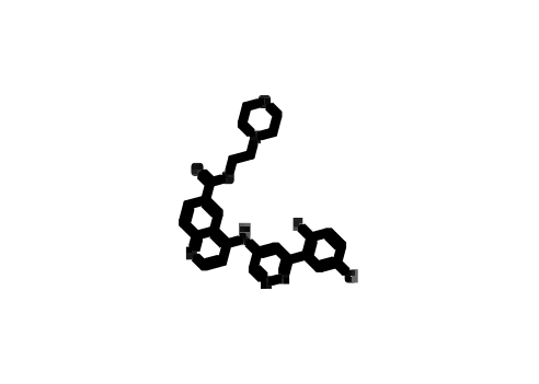 O=C(OCCN1CCOCC1)c1ccc2nccc(Nc3cnnc(-c4cc(Cl)ccc4F)c3)c2c1